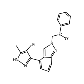 Cc1[nH]nc(-c2cccc3nn(C[S+]([O-])c4ccccc4)cc23)c1C(C)C